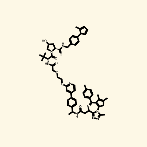 CC1=CC=CC1c1ccc(CNC(=O)[C@@H]2CC(O)CN2C(=O)[C@@H](NC(=O)COCCOc2cc(-c3ccc(C(C)NC(=O)CC4N=C(c5ccc(C)cc5)C5=C(CC(C)=C5C)n5c(C)nnc54)cc3)ccn2)C(C)(C)C)cc1